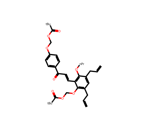 C=CCc1cc(CC=C)c(OCOC(=O)C(C)(C)C)c(C=CC(=O)c2ccc(OCOC(=O)C(C)(C)C)cc2)c1OCCC